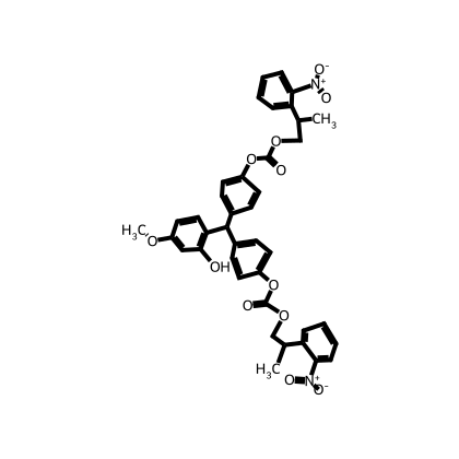 COc1ccc(C(c2ccc(OC(=O)OCC(C)c3ccccc3[N+](=O)[O-])cc2)c2ccc(OC(=O)OCC(C)c3ccccc3[N+](=O)[O-])cc2)c(O)c1